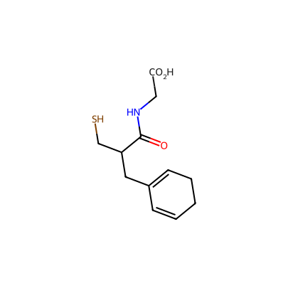 O=C(O)CNC(=O)C(CS)CC1=CCCC=C1